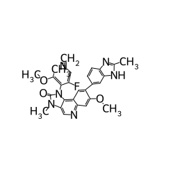 C=N/C=C(F)\C(=C(/C)OC)n1c(=O)n(C)c2cnc3cc(OC)c(-c4ccc5nc(C)[nH]c5c4)cc3c21